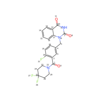 O=C(c1cc(Cn2c(=O)[nH]c(=O)c3ccccc32)ccc1F)N1CCC(F)(F)CC1